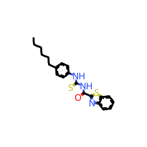 CCCCCCc1ccc(NC(=S)NC(=O)c2nc3ccccc3s2)cc1